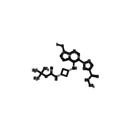 CNC(=O)c1coc(-c2cnc3c(ccn3SI)c2N[C@H]2C[C@@H](NC(=O)OC(C)(C)C)C2)n1